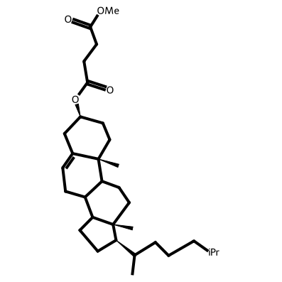 COC(=O)CCC(=O)O[C@H]1CC[C@@]2(C)C(=CCC3C2CC[C@@]2(C)C3CC[C@@H]2C(C)CCCC(C)C)C1